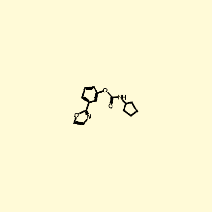 O=C(NC1CCCC1)Oc1cccc(-c2ncco2)c1